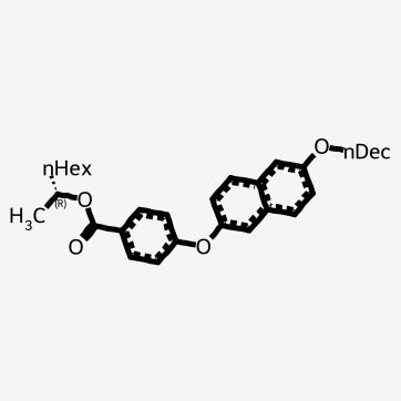 CCCCCCCCCCOc1ccc2cc(Oc3ccc(C(=O)O[C@H](C)CCCCCC)cc3)ccc2c1